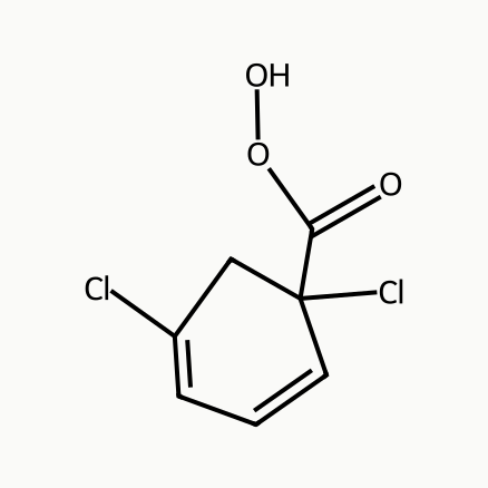 O=C(OO)C1(Cl)C=CC=C(Cl)C1